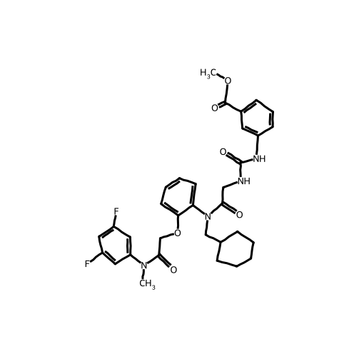 COC(=O)c1cccc(NC(=O)NCC(=O)N(CC2CCCCC2)c2ccccc2OCC(=O)N(C)c2cc(F)cc(F)c2)c1